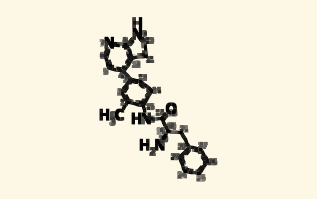 Cc1cc(-c2ccnc3[nH]ccc23)ccc1NC(=O)[C@H](N)Cc1ccccc1